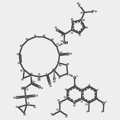 COc1ccc2c(O[C@@H]3C[C@H]4C(=O)N[C@]5(C(=O)NS(=O)(=O)C6(C)CC6)CC5/C=C\CCCCC[C@H](NC(=O)c5ccn(C(F)F)n5)C(=O)N4C3)cc(OC(C)C)nc2c1C